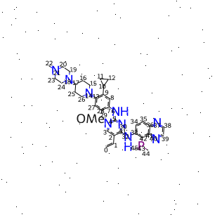 C=Cc1cnc(Nc2cc(C3CC3)c(N3CCC(N4CCN(C)CC4)CC3)cc2OC)nc1Nc1ccc2nccnc2c1P(C)C